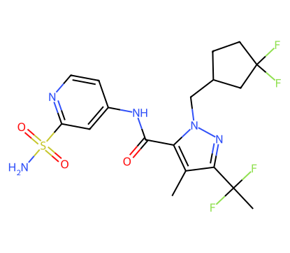 Cc1c(C(C)(F)F)nn(CC2CCC(F)(F)C2)c1C(=O)Nc1ccnc(S(N)(=O)=O)c1